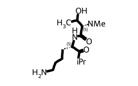 CN[C@H](C(=O)N[C@@H](CCCCN)C(=O)C(C)C)C(C)O